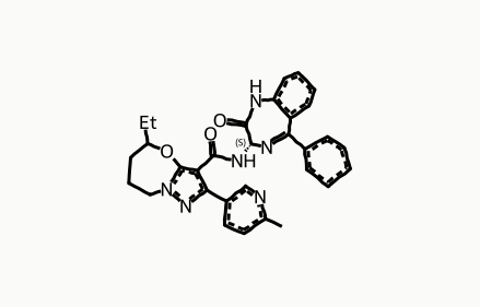 CCC1CCCn2nc(-c3ccc(C)nc3)c(C(=O)N[C@H]3N=C(c4ccccc4)c4ccccc4NC3=O)c2O1